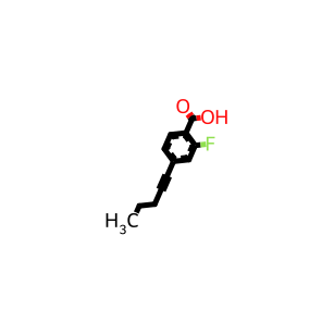 CCCC#Cc1ccc(C(=O)O)c(F)c1